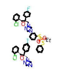 CCOP(=O)(Sc1ccccc1)Sc1ccccc1.Fc1ccc([C@@]2(Cn3cncn3)O[C@@H]2c2ccccc2Cl)cc1.Fc1ccc([C@]2(Cn3cncn3)O[C@H]2c2ccccc2Cl)cc1